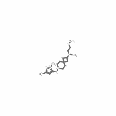 COCCN(C)C1CC2(CCN(Sc3cc(C)nn3C)CC2)C1